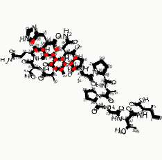 CC[C@H](C)[C@H](NC(=O)[C@@H](NC(=O)CNC(=O)[C@@H]1CCCN1C(=O)[C@H](C)NC(=O)[C@@H]1CCCN1C(=O)[C@H](C)NC(=O)[C@H](CC(C)C)NC(=O)[C@H](CC(N)=O)NC(=O)[C@H](CC(C)C)NC(=O)[C@H](Cc1c[nH]cn1)NC(=O)[C@H](CCC(N)=O)NC(=O)[C@H](CO)NC(=O)[C@H](C)NC(=O)[C@@H](NC(=O)[C@@H]1CCCN1)[C@@H](C)CC)[C@@H](C)O)C(=O)O